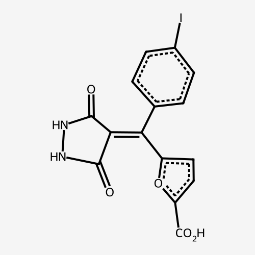 O=C1NNC(=O)C1=C(c1ccc(I)cc1)c1ccc(C(=O)O)o1